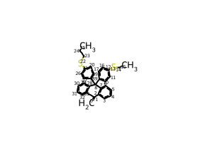 C=C1c2ccccc2C(c2ccc(SCC)cc2)(c2ccc(SCCC)cc2)c2ccccc21